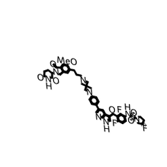 COc1cc(CCCN2CC3(C2)CN(c2ccc(-c4cnc5[nH]cc(C(=O)c6c(F)ccc(NS(=O)(=O)N7CC[C@@H](F)C7)c6F)c5c4)cc2)C3)cc2c1C(=O)N(C1CCC(=O)NC1=O)C2